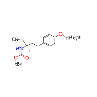 [C-]#[N+]C[C@@](C)(CCc1ccc(OCCCCCCC)cc1)NC(=O)OC(C)(C)C